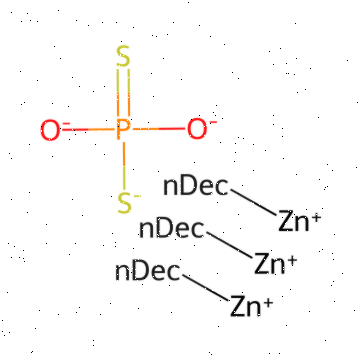 CCCCCCCCC[CH2][Zn+].CCCCCCCCC[CH2][Zn+].CCCCCCCCC[CH2][Zn+].[O-]P([O-])(=S)[S-]